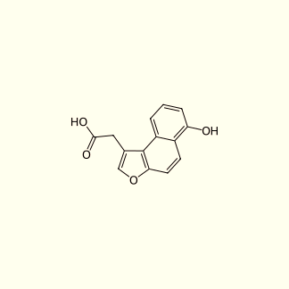 O=C(O)Cc1coc2ccc3c(O)cccc3c12